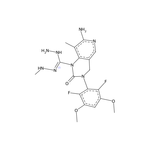 CN/N=C(\NN)N1C(=O)N(c2c(F)c(OC)cc(OC)c2F)Cc2cnc(N)c(C)c21